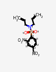 C=CCN(CC=C)S(=O)(=O)c1ccc([N+](=O)[O-])cc1[N+](=O)[O-]